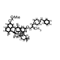 COCOc1cc(-c2ncc3c(N4CCCC(F)(F)C4)nc(OC[C@H](C)CN4CCN(Cc5ccccc5)CC4)nc3c2F)c2c(C#C[Si](C(C)C)(C(C)C)C(C)C)c(F)ccc2c1